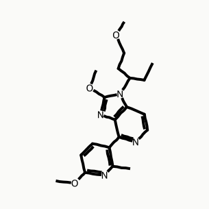 CCC(CCOC)n1c(OC)nc2c(-c3ccc(OC)nc3C)nccc21